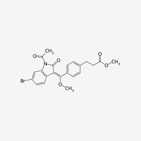 COC(=O)CCc1ccc(C(OC)=C2C(=O)N(C(C)=O)c3cc(Br)ccc32)cc1